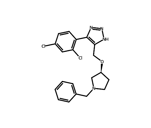 Clc1ccc(-c2nn[nH]c2CO[C@H]2CCN(Cc3ccccc3)C2)c(Cl)c1